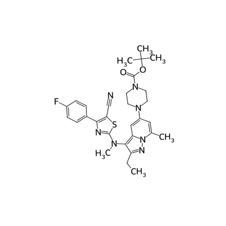 CCc1nn2c(C)cc(N3CCN(C(=O)OC(C)(C)C)CC3)cc2c1N(C)c1nc(-c2ccc(F)cc2)c(C#N)s1